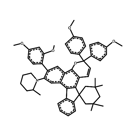 COc1ccc(C2(c3ccc(OC)cc3)C=Cc3c4c(c5cc(N6CCCCC6C)c(-c6ccc(OC)cc6OC)cc5c3O2)-c2ccccc2C42CC(C)(C)CC(C)(C)C2)cc1